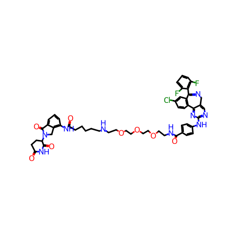 O=C1CCC(N2Cc3c(NC(=O)CCCCCNCCOCCOCCOCCNC(=O)c4ccc(Nc5ncc6c(n5)-c5ccc(Cl)cc5C(c5c(F)cccc5F)=NC6)cc4)cccc3C2=O)C(=O)N1